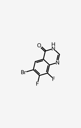 O=c1[nH]cnc2c(F)c(F)c(Br)cc12